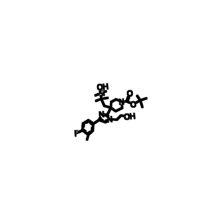 Cc1cc(-c2cn(CCO)c(C3(CC(C)(C)[Si](C)(C)O)CCN(C(=O)OC(C)(C)C)CC3)n2)ccc1F